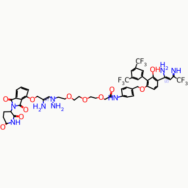 N=C(/C=C(\N)c1ccc(OCc2ccc(NC(=O)COCCOCCOCCN(N)/C=C(\N)COc3cccc4c3C(=O)N(C3CCC(=O)NC3=O)C4=O)cc2)c(-c2cc(C(F)(F)F)cc(C(F)(F)F)c2)c1O)C(F)(F)F